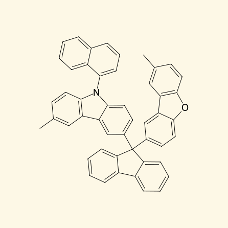 Cc1ccc2oc3ccc(C4(c5ccc6c(c5)c5cc(C)ccc5n6-c5cccc6ccccc56)c5ccccc5-c5ccccc54)cc3c2c1